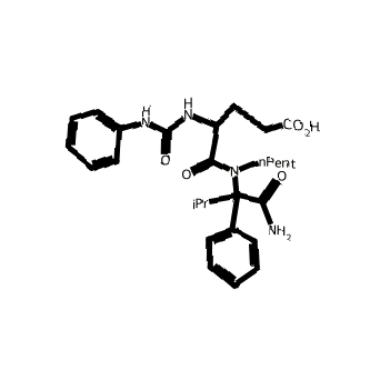 CCCCCN(C(=O)C(CCC(=O)O)NC(=O)Nc1ccccc1)C(C(N)=O)(c1ccccc1)C(C)C